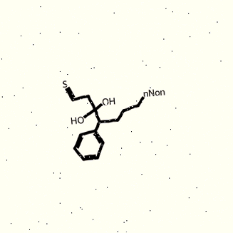 CCCCCCCCCCCCC(c1ccccc1)C(O)(O)CC=S